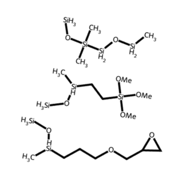 CO[Si](CC[SiH](C)O[SiH3])(OC)OC.C[SiH2]O[SiH2][Si](C)(C)O[SiH3].C[SiH](CCCOCC1CO1)O[SiH3]